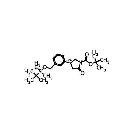 CC(C)(C)OC(=O)N1C[C@H](c2cccc(CO[Si](C)(C)C(C)(C)C)c2)CC1=O